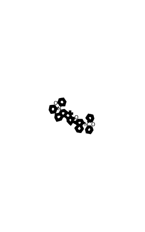 CC1(C)c2cc(N3c4ccccc4Oc4ccccc43)c3ccccc3c2-c2ccc3c(oc4cc(N5c6ccccc6Oc6ccccc65)c5ccccc5c43)c21